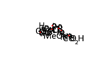 COc1nc(-c2cccc(-c3cccc(-c4ccc5c(n4)CCCC5N(C[C@@H]4CCC(=O)N4)C(=O)OC(C)(C)C)c3Cl)c2Cl)ccc1CN(C[C@@H]1CCC(=O)N1)C(=O)O